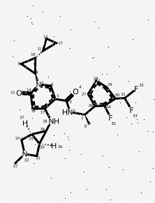 C[C@@H](NC(=O)c1cn([C@H]2C[C@@H]2C2CC2)c(=O)cc1NC1[C@H]2CN(C)C[C@@H]12)c1cccc(C(F)F)c1F